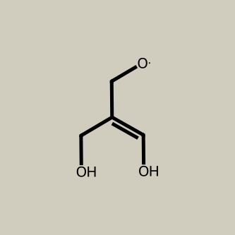 [O]CC(=CO)CO